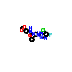 N#C/N=C(\Nc1ccc(F)cc1Cl)N1CCN(C(=O)Nc2ccc3c(c2)OCCO3)C(c2ccccc2)C1